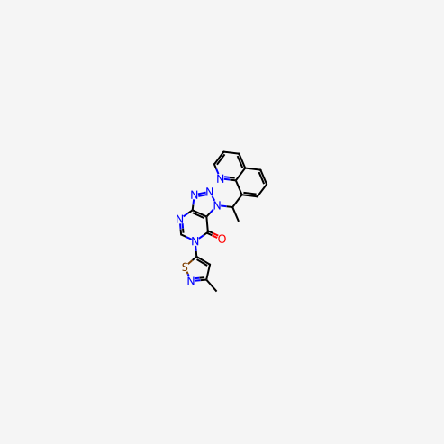 Cc1cc(-n2cnc3nnn(C(C)c4cccc5cccnc45)c3c2=O)sn1